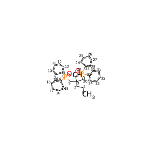 CCCC(C)(CP(=O)(c1ccccc1)c1ccccc1)CP(=O)(c1ccccc1)c1ccccc1